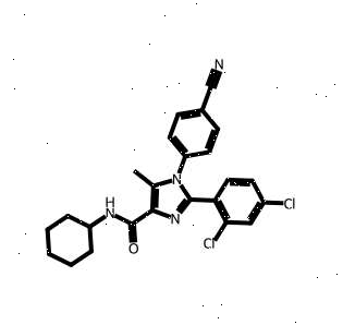 Cc1c(C(=O)NC2CCCCC2)nc(-c2ccc(Cl)cc2Cl)n1-c1ccc(C#N)cc1